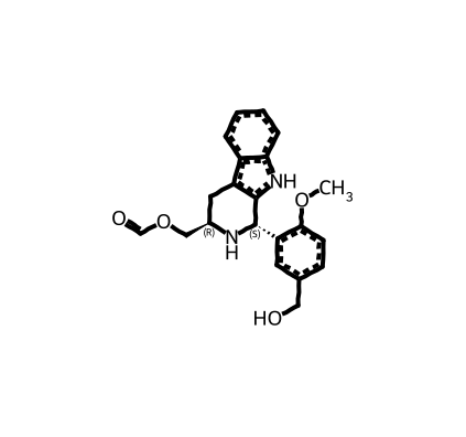 COc1ccc(CO)cc1[C@@H]1N[C@@H](COC=O)Cc2c1[nH]c1ccccc21